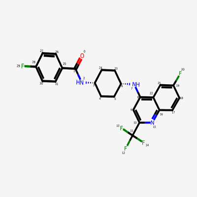 O=C(N[C@H]1CC[C@@H](Nc2cc(C(F)(F)F)nc3ccc(F)cc23)CC1)c1ccc(F)cc1